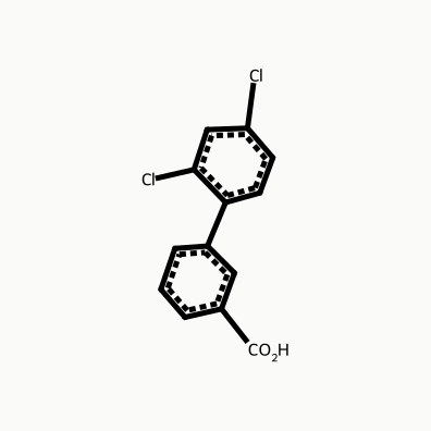 O=C(O)c1cccc(-c2ccc(Cl)cc2Cl)c1